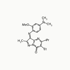 CCc1c(C(C)C)nc2n(c1=O)N=C(C)C2=Nc1ccc(N(C)C)cc1OC